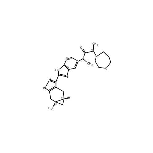 C[C@H](C(=O)N(C)c1cnc2[nH]c(-c3n[nH]c4c3C[C@@H]3C[C@]3(C)C4)nc2c1)N1CCCOCC1